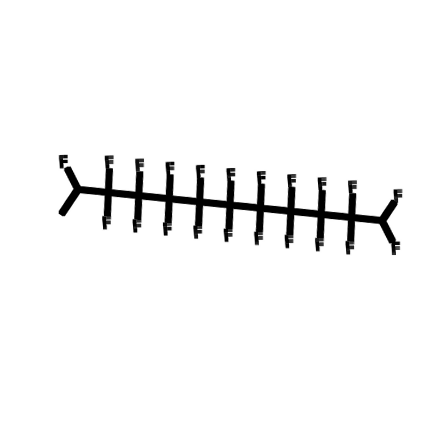 CC(F)C(F)(F)C(F)(F)C(F)(F)C(F)(F)C(F)(F)C(F)(F)C(F)(F)C(F)(F)C(F)(F)[C](F)F